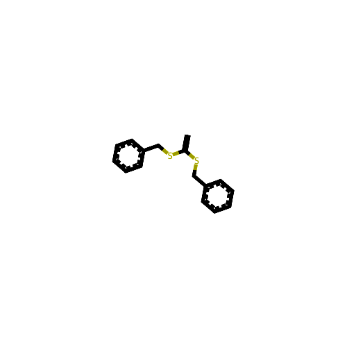 C=C(SCc1ccccc1)SCc1ccccc1